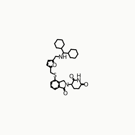 O=C1CCC(N2Cc3c(SCc4ccc(CNC(C5CCCCC5)C5CCCCC5)o4)cccc3C2=O)C(=O)N1